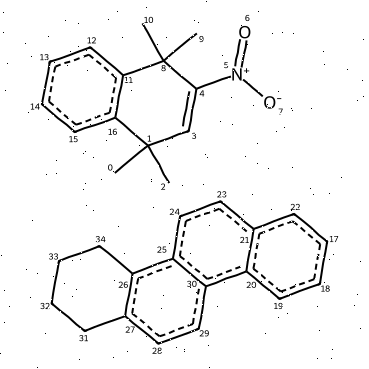 CC1(C)C=C([N+](=O)[O-])C(C)(C)c2ccccc21.c1ccc2c(c1)ccc1c3c(ccc12)CCCC3